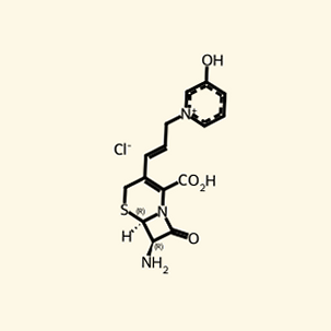 N[C@@H]1C(=O)N2C(C(=O)O)=C(C=CC[n+]3cccc(O)c3)CS[C@H]12.[Cl-]